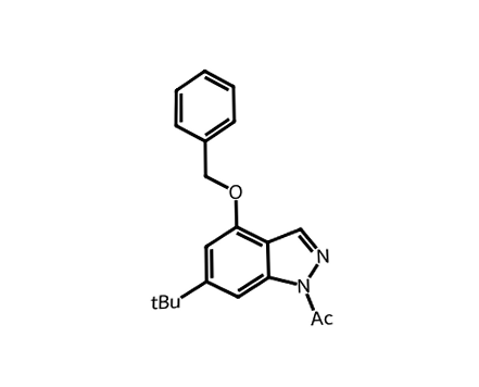 CC(=O)n1ncc2c(OCc3ccccc3)cc(C(C)(C)C)cc21